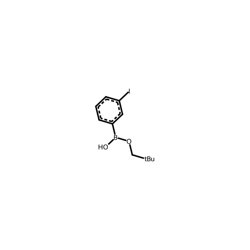 CC(C)(C)COB(O)c1cccc(I)c1